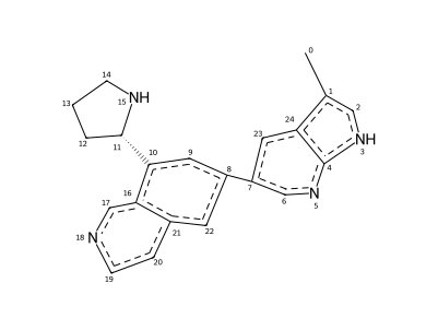 Cc1c[nH]c2ncc(-c3cc([C@@H]4CCCN4)c4cnccc4c3)cc12